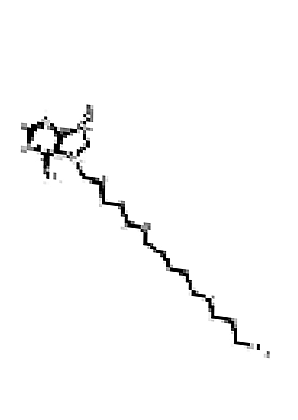 CCCCCCCCCCCCCCCCN1CN(Cl)c2ncnc(N)c21